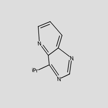 CC(C)c1ncnc2cccnc12